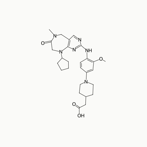 COc1cc(N2CCC(CC(=O)O)CC2)ccc1Nc1ncc2c(n1)N(C1CCCC1)CC(=O)N(C)C2